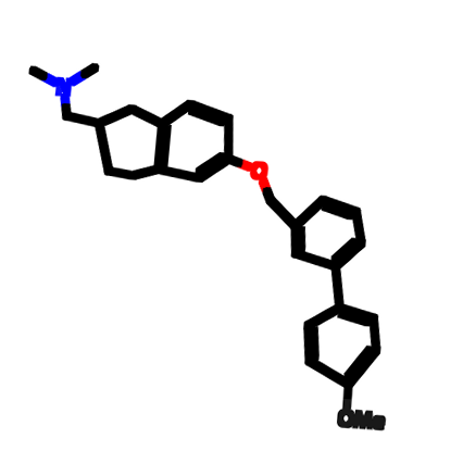 COc1ccc(-c2cccc(COc3ccc4c(c3)CCC(CN(C)C)C4)c2)cc1